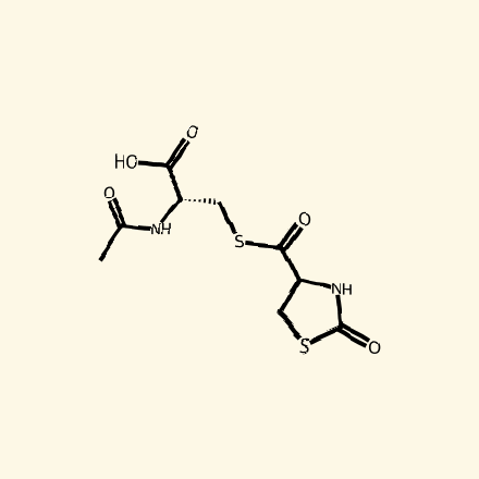 CC(=O)N[C@@H](CSC(=O)C1CSC(=O)N1)C(=O)O